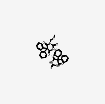 COCN1C(=O)NC(=O)C(c2ccccc2)(c2ccccc2)C1=O.O=C1NC(=O)C(c2ccccc2)(c2ccccc2)C(=O)N1